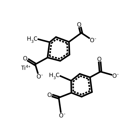 Cc1cc(C(=O)[O-])ccc1C(=O)[O-].Cc1cc(C(=O)[O-])ccc1C(=O)[O-].[Ti+4]